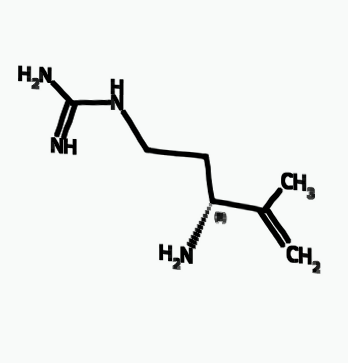 C=C(C)[C@H](N)CCNC(=N)N